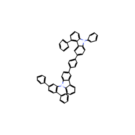 c1ccc(-c2ccc(-c3ccccc3)c(-n3c4ccccc4c4cc(-c5ccc(-c6ccc7c(c6)c6c(-c8ccccc8)cccc6n7-c6ccccc6)cc5)ccc43)c2)cc1